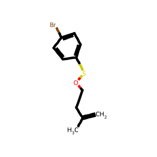 C=C(C)CCOSc1ccc(Br)cc1